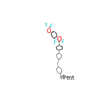 CCCCCC1CCC(CCC2CCC(c3ccc(C(F)(F)Oc4ccc(OC(F)F)cc4)cc3)CC2)CC1